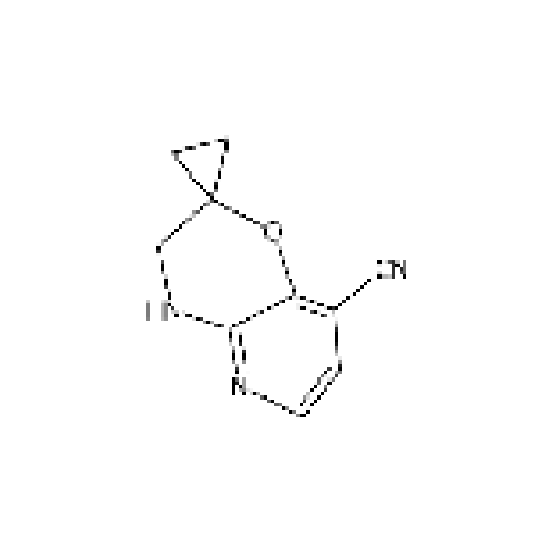 N#Cc1ccnc2c1OC1(CC1)CN2